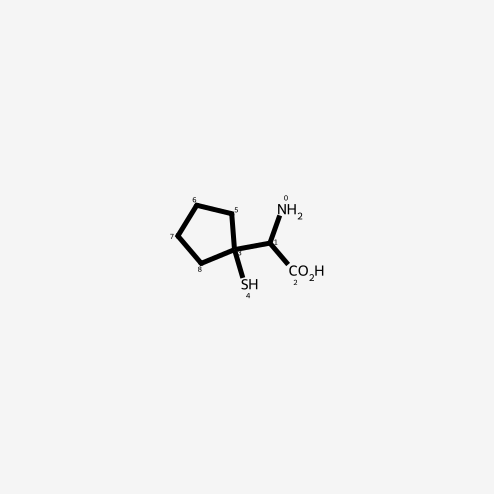 NC(C(=O)O)C1(S)CCCC1